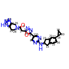 O=C(Cc1nnc(-c2cnc(NC3Cc4ccc(C5CC5)cc4C3)nc2)o1)N1CCc2[nH]nnc2C1